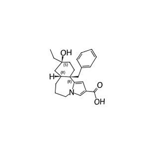 CC[C@]1(O)CC[C@]2(Cc3ccccc3)c3cc(C(=O)O)cn3CCC[C@@H]2C1